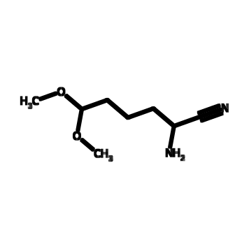 COC(CCCC(N)C#N)OC